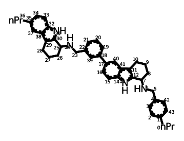 CCCc1ccc(CNC2CCCc3c2[nH]c2ccc(-c4cccc(CNC5CCCc6c5[nH]c5ccc(CCC)cc65)c4)cc32)cc1